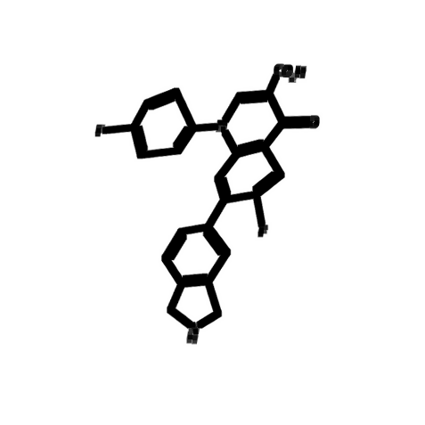 O=C(O)c1cn(-c2ccc(F)cc2)c2cc(-c3ccc4c(c3)CNC4)c(F)cc2c1=O